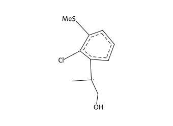 CSc1cccc([C](C)CO)c1Cl